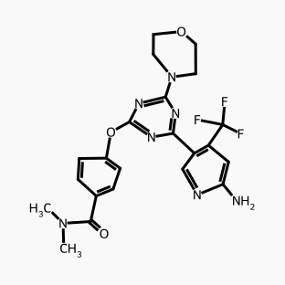 CN(C)C(=O)c1ccc(Oc2nc(-c3cnc(N)cc3C(F)(F)F)nc(N3CCOCC3)n2)cc1